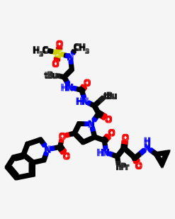 CCCC(NC(=O)C1CC(OC(=O)N2CCc3ccccc3C2)CN1C(=O)C(NC(=O)NC(CN(C)S(C)(=O)=O)C(C)(C)C)C(C)(C)C)C(=O)C(=O)NC1CC1